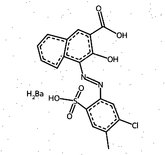 Cc1cc(S(=O)(=O)O)c(N=Nc2c(O)c(C(=O)O)cc3ccccc23)cc1Cl.[BaH2]